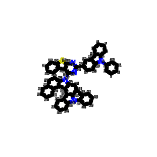 c1ccc(-n2c3ccccc3c3cc(-c4nc(-n5c6ccc7ccccc7c6c6c7c8ccccc8n8c9ccccc9c(cc65)c78)c5c(n4)sc4ccccc45)ccc32)cc1